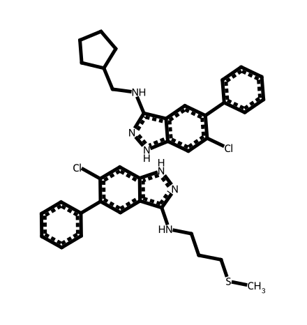 CSCCCNc1n[nH]c2cc(Cl)c(-c3ccccc3)cc12.Clc1cc2[nH]nc(NCC3CCCC3)c2cc1-c1ccccc1